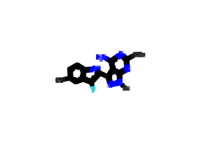 [C-]#[N+]c1ccc2[nH]c(-c3nn(C(C)=O)c4nc(OC)nc(N)c34)c(F)c2c1